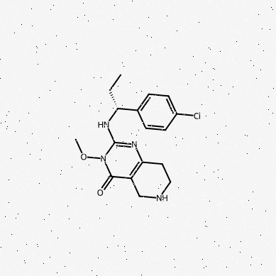 CC[C@@H](Nc1nc2c(c(=O)n1OC)CNCC2)c1ccc(Cl)cc1